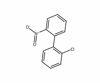 O=[N+]([O-])c1ccccc1-c1ccc[c]c1Cl